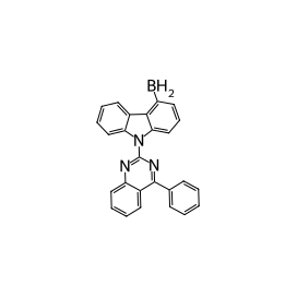 Bc1cccc2c1c1ccccc1n2-c1nc(-c2ccccc2)c2ccccc2n1